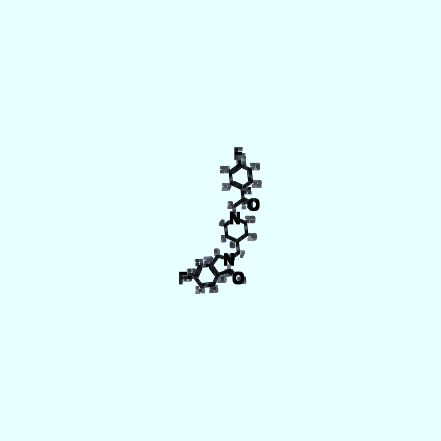 O=C(CN1CCC(CN2Cc3cc(F)ccc3C2=O)CC1)c1ccc(F)cc1